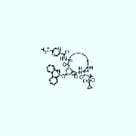 Cc1cnc(C(=O)N[C@H]2CCCCC/C=C\[C@H]3C[C@@]3(C(=O)NS(=O)(=O)C3CC3)NC(=O)[C@@H]3C[C@@H](Oc4nc5ccccc5c5ccccc45)CN3C2=O)cn1